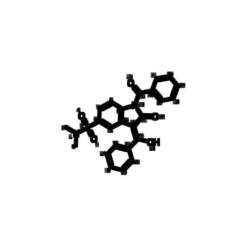 CN(C)S(=O)(=O)c1ccc2c(c1)/C(=C(/O)c1ccccc1)C(=O)N2C(=O)c1ccccc1